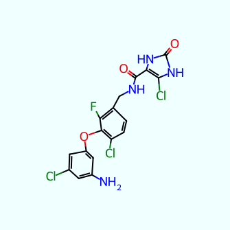 Nc1cc(Cl)cc(Oc2c(Cl)ccc(CNC(=O)c3[nH]c(=O)[nH]c3Cl)c2F)c1